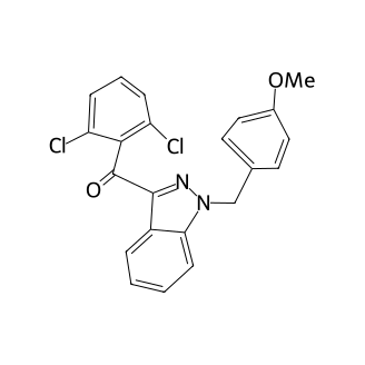 COc1ccc(Cn2nc(C(=O)c3c(Cl)cccc3Cl)c3ccccc32)cc1